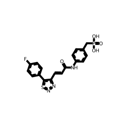 O=C(/C=C/c1nnsc1-c1ccc(F)cc1)Nc1ccc(CP(=O)(O)O)cc1